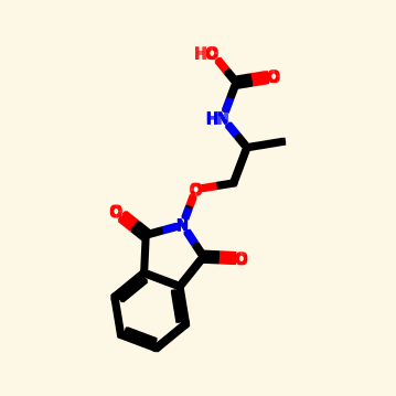 CC(CON1C(=O)c2ccccc2C1=O)NC(=O)O